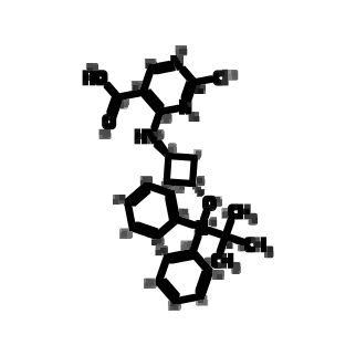 CC(C)(C)[Si](O[C@H]1C[C@H](Nc2nc(Cl)ncc2C(=O)O)C1)(c1ccccc1)c1ccccc1